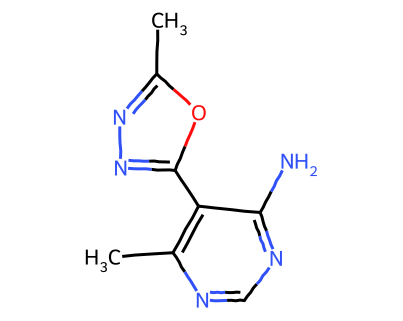 Cc1nnc(-c2c(C)ncnc2N)o1